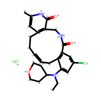 CCN(c1cc(Cl)cc2c1C/C=C\CCc1cc(C)[nH]c(=O)c1CNC2=O)C1CCOCC1.Cl